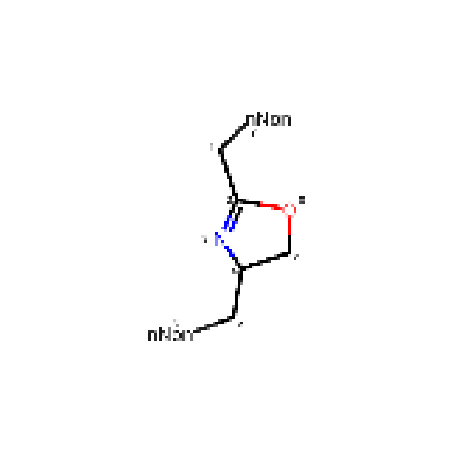 CCCCCCCCCCC1=NC(CCCCCCCCCC)CO1